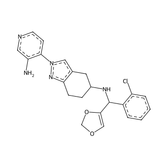 Nc1cnccc1-n1cc2c(n1)CCC(NC(C1=COCO1)c1ccccc1Cl)C2